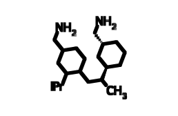 CC(C)C1CC(CN)CCC1CC(C)[C@@H]1CCC[C@@H](CN)C1